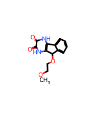 COCCOC1c2ccccc2-c2[nH]c(=O)c(=O)[nH]c21